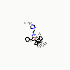 CCCCCCCN1CCN(CCNC[C@@H]2O[C@@H](C34C[C@@H]5[C@H](C)CC[C@H]5C5(C=O)CC3C=C(C(C)C)[C@]54C(=O)O)C[C@H]2C2CCCCC2)CC1